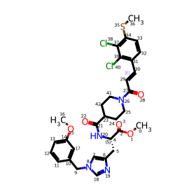 COC(=O)[C@H](Cc1cn(Cc2cccc(OC)c2)cn1)NC(=O)C1CCN(C(=O)/C=C/c2ccc(SC)c(Cl)c2Cl)CC1